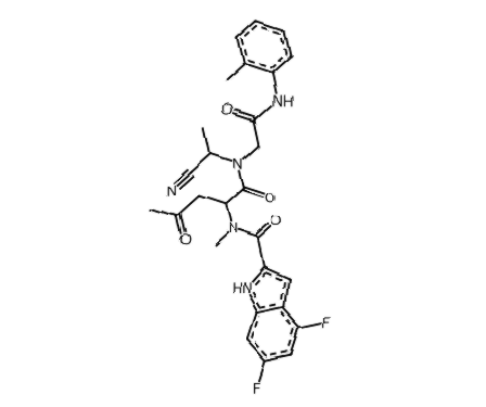 CC(=O)CC(C(=O)N(CC(=O)Nc1ccccc1C)C(C)C#N)N(C)C(=O)c1cc2c(F)cc(F)cc2[nH]1